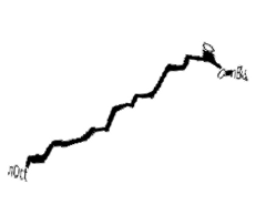 CCCCCCCCC=CCCCCCCCCCCCC(=O)OCCCC